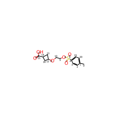 Cc1ccc(S(=O)(=O)OCCOC2CC(C(=O)O)C2)cc1